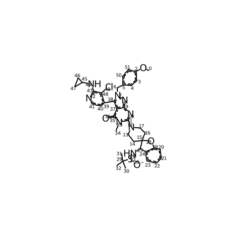 COc1ccc(Cn2nc3nc(N4CCC5(CC4)Oc4ccccc4[C@H]5N[S+]([O-])C(C)(C)C)n(C)c(=O)c3c2-c2ccnc(NC3CC3)c2Cl)cc1